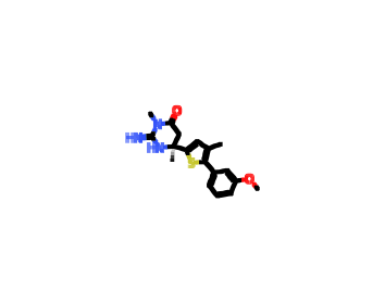 COc1cccc(-c2sc([C@]3(C)CC(=O)N(C)C(=N)N3)cc2C)c1